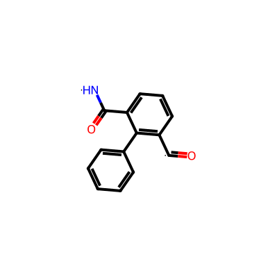 [NH]C(=O)c1cccc([C]=O)c1-c1ccccc1